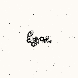 O=C(NC1CC1)c1ccc(Nc2nc3c(-c4ccc(CN5CCOCC5)s4)cccn3n2)cc1